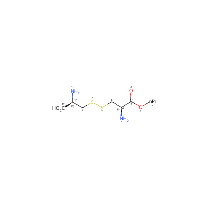 CCCOC(=O)[C@@H](N)CSSC[C@H](N)C(=O)O